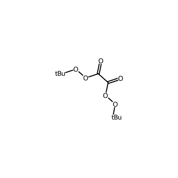 CC(C)(C)OOC(=O)C(=O)OOC(C)(C)C